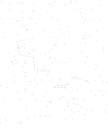 Clc1ccc([CH]C2CCCO2)cc1